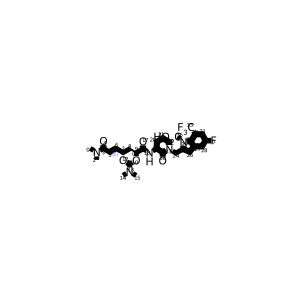 CN(C)C(=O)/C=C/CC[C@H](OC(=O)N(C)C)C(=O)Nc1cccn(Cc2cc3cc(F)cc(C(F)(F)F)c3n2C(=O)O)c1=O